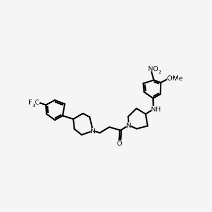 COc1cc(NC2CCN(C(=O)CCN3CCC(c4ccc(C(F)(F)F)cc4)CC3)CC2)ccc1[N+](=O)[O-]